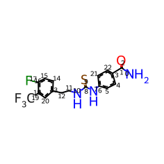 NC(=O)c1ccc(NC(=S)NCCc2ccc(F)c(C(F)(F)F)c2)cc1